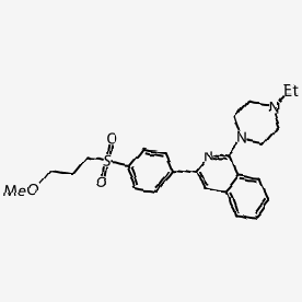 CCN1CCN(c2nc(-c3ccc(S(=O)(=O)CCCOC)cc3)cc3ccccc23)CC1